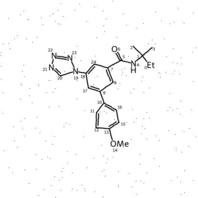 CCC(C)(C)NC(=O)c1cc(-c2ccc(OC)cc2)cc(-n2cnnn2)c1